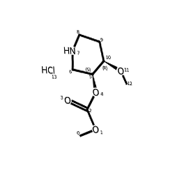 COC(=O)O[C@H]1CNCC[C@H]1OC.Cl